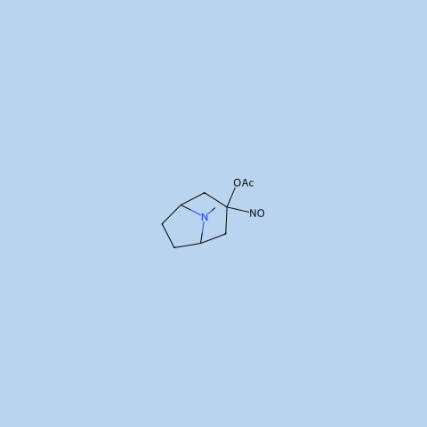 CC(=O)OC1(N=O)CC2CCC(C1)N2C